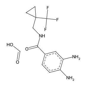 Nc1ccc(C(=O)NCC2(C(F)(F)F)CC2)cc1N.O=CO